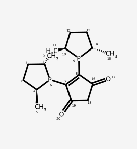 C[C@H]1CC[C@H](C)P1C1=C(P2[C@@H](C)CC[C@@H]2C)C(=O)CC1=O